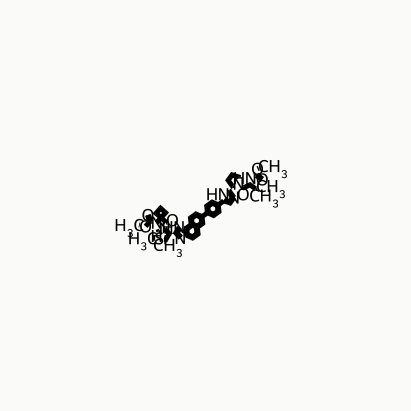 COC(=O)N[C@H](C(=O)N1CCC[C@H]1c1ncc(-c2ccc(-c3ccc4c(ccc5nc([C@@H]6C[Si](C)(C)CN6C(=O)C6(NC(=O)OC)CCC6)[nH]c54)c3)cc2)[nH]1)C(C)C